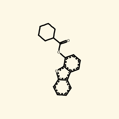 O=C(Oc1cccc2c1oc1[c]cccc12)C1CCCCC1